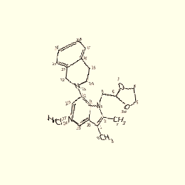 Cc1c(C)n(CC2OCCO2)c2c(N3CCc4ccccc4C3)cncc12.Cl